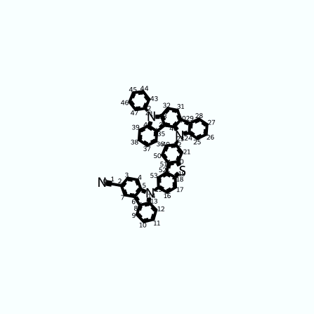 N#Cc1ccc2c(c1)c1ccccc1n2-c1ccc2sc3cc(-n4c5ccccc5c5ccc6c(c7ccccc7n6-c6ccccc6)c54)ccc3c2c1